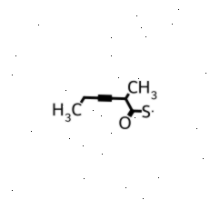 CCC#CC(C)C(=O)[S]